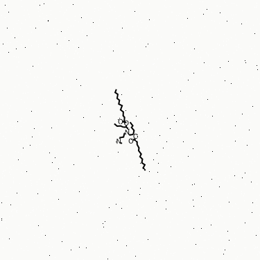 CCCCCCCCCCCC(=O)OC(CCCC)CN(CCCN(C)C)CC(CCCC)OC(=O)CCCCCCCCCCC